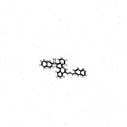 c1ccc2cc(CCCc3cc4c5ccccc5c(Nc5ccc6ccccc6c5)cc4c4ccccc34)ccc2c1